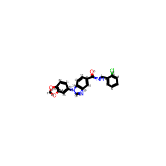 O=C(NCc1ccccc1Cl)c1ccc2c(c1)ncn2-c1ccc2c(c1)OCO2